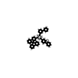 c1ccc(-c2cccc(-c3nc(-c4cccc(C5(c6ccccc6)c6ccccc6-c6ccccc65)c4)nc(-c4ccc5c(c4)oc4ccccc45)n3)c2)cc1